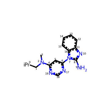 CC(C)CN(C)c1cc(-n2c(N)nc3ccccc32)ncn1